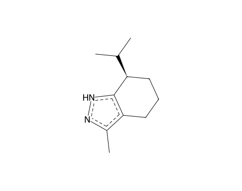 Cc1n[nH]c2c1CCC[C@@H]2C(C)C